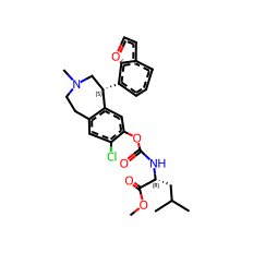 COC(=O)[C@@H](CC(C)C)NC(=O)Oc1cc2c(cc1Cl)CCN(C)C[C@@H]2c1cccc2ccoc12